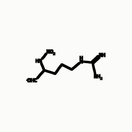 N=C(N)NCCCC([C]=O)N[N+](=O)[O-]